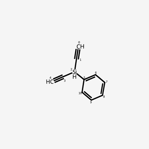 C#C[SiH](C#C)c1ccccc1